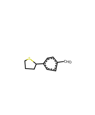 O=Cc1ccc(C2CCCS2)cc1